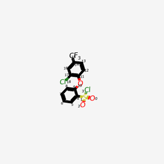 O=S(=O)(Cl)c1ccccc1Oc1ccc(C(F)(F)F)cc1Cl